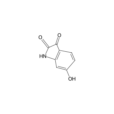 O=C1Nc2cc(O)ccc2C1=O